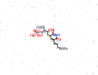 CNC/C=C/C1=CC(CC(O)C(COP(=O)(O)O)OC)C(=O)NC1=O